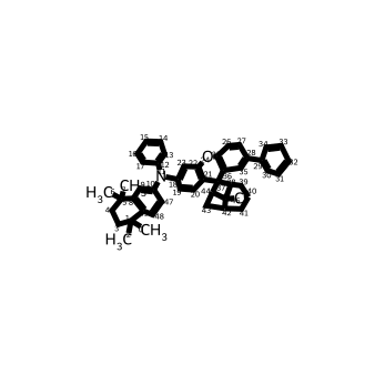 CC1(C)CCC(C)(C)c2cc(N(c3ccccc3)c3ccc4c(c3)Oc3ccc(-c5ccccc5)cc3C43C4CC5CC6CC3C64C5)ccc21